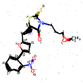 COCCCN1C(=O)/C(=C\c2ccc(-c3ccccc3[N+](=O)[O-])o2)SC1=S